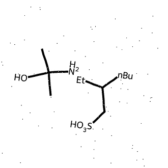 CC(C)(N)O.CCCCC(CC)CS(=O)(=O)O